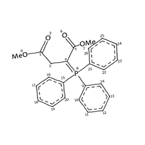 COC(=O)CC(C(=O)OC)=P(c1ccccc1)(c1ccccc1)c1ccccc1